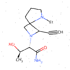 C#CC1N([C@H](C(N)=O)[C@@H](C)O)CC12CCCN2CC